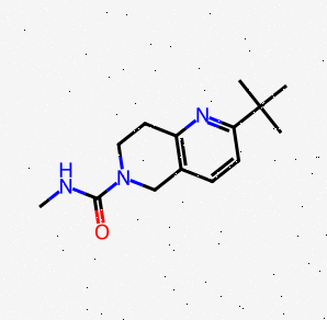 CNC(=O)N1CCc2nc(C(C)(C)C)ccc2C1